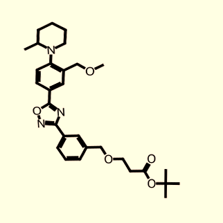 COCc1cc(-c2nc(-c3cccc(COCCC(=O)OC(C)(C)C)c3)no2)ccc1N1CCCCC1C